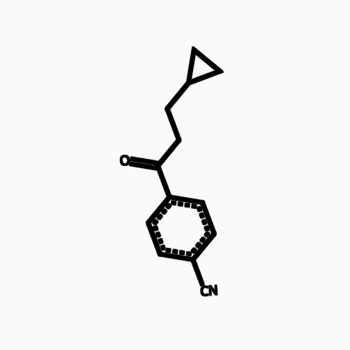 N#Cc1ccc(C(=O)CCC2CC2)cc1